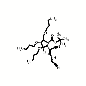 CCCCOC[C@@H]1[C@@H](OCCCC)[C@@](C)(OCCCC)[C@H](/C(C#N)=C/NCC#N)N1C(=O)OC(C)(C)C